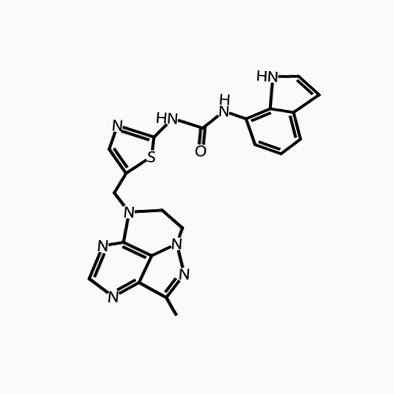 Cc1nn2c3c(ncnc13)N(Cc1cnc(NC(=O)Nc3cccc4cc[nH]c34)s1)CC2